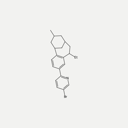 CCC1CC2CC(C)CC(C2)c2ccc(-c3ccc(Br)cn3)cc21